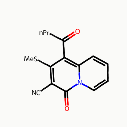 CCCC(=O)c1c(SC)c(C#N)c(=O)n2ccccc12